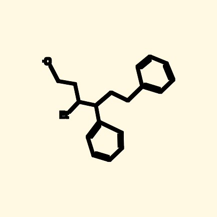 CCC(CC[O])C(CCc1ccccc1)c1ccccc1